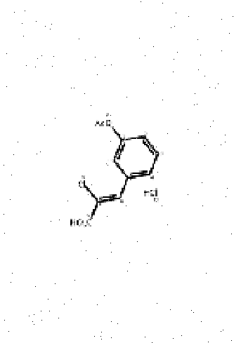 CC(=O)Oc1cccc(C=C(Cl)C(=O)O)c1.Cl